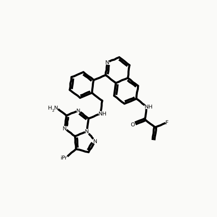 C=C(F)C(=O)Nc1ccc2c(-c3ccccc3CNc3nc(N)nc4c(C(C)C)cnn34)nccc2c1